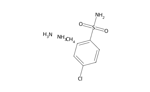 C.N.N.NS(=O)(=O)c1ccc(Cl)cc1